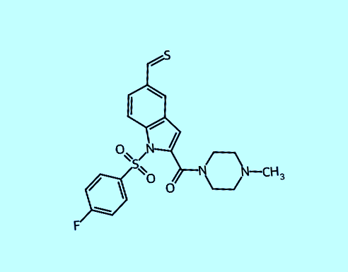 CN1CCN(C(=O)c2cc3cc(C=S)ccc3n2S(=O)(=O)c2ccc(F)cc2)CC1